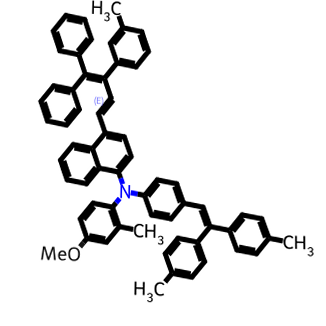 COc1ccc(N(c2ccc(C=C(c3ccc(C)cc3)c3ccc(C)cc3)cc2)c2ccc(/C=C/C(=C(c3ccccc3)c3ccccc3)c3cccc(C)c3)c3ccccc23)c(C)c1